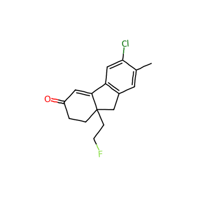 Cc1cc2c(cc1Cl)C1=CC(=O)CCC1(CCF)C2